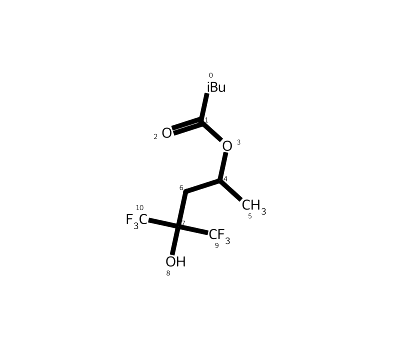 CCC(C)C(=O)OC(C)CC(O)(C(F)(F)F)C(F)(F)F